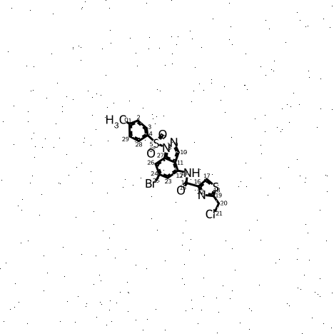 Cc1ccc(S(=O)(=O)n2ncc3c(NC(=O)c4csc(CCl)n4)cc(Br)cc32)cc1